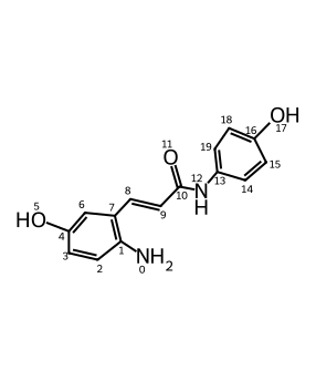 Nc1ccc(O)cc1C=CC(=O)Nc1ccc(O)cc1